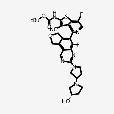 CC(C)(C)OC(=O)Nc1sc2c(F)cnc(-c3c4c(c5cnc(N6CC[C@@H](N7CC[C@H](O)C7)C6)nc5c3F)COC4)c2c1C#N